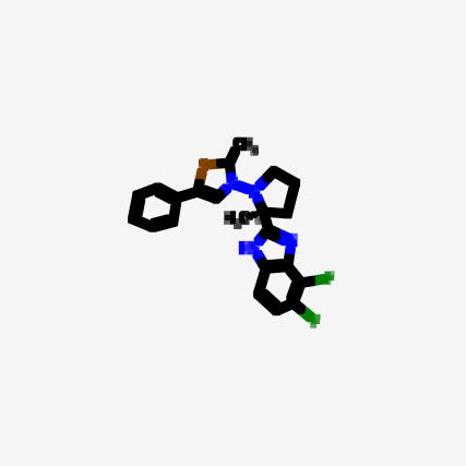 CC1SC(c2ccccc2)=[C]N1N1CCC[C@@]1(C)c1nc2c(F)c(F)ccc2[nH]1